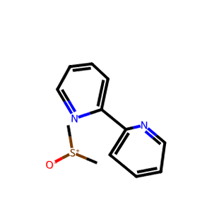 C[S+](C)[O-].c1ccc(-c2ccccn2)nc1